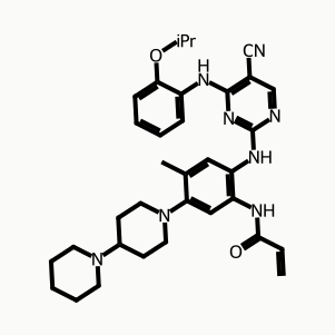 C=CC(=O)Nc1cc(N2CCC(N3CCCCC3)CC2)c(C)cc1Nc1ncc(C#N)c(Nc2ccccc2OC(C)C)n1